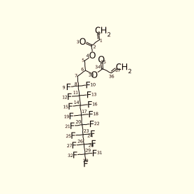 C=CC(=O)OCC(CC(F)(F)C(F)(F)C(F)(F)C(F)(F)C(F)(F)C(F)(F)C(F)(F)C(F)(F)F)OC(=O)C=C